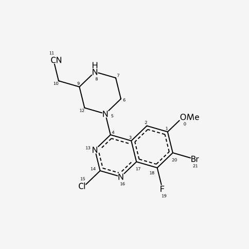 COc1cc2c(N3CCNC(CC#N)C3)nc(Cl)nc2c(F)c1Br